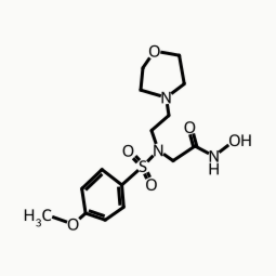 COc1ccc(S(=O)(=O)N(CCN2CCOCC2)CC(=O)NO)cc1